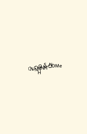 COc1ccc(-c2cc(NC(=O)Nc3cccc(CN4CCCCC4)n3)cs2)cn1